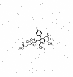 CCc1c(C(C)C)nc(C(C)C)c(/C=C/[C@@H](O)C[C@@H](O)CC(=O)O)c1-c1ccc(F)cc1